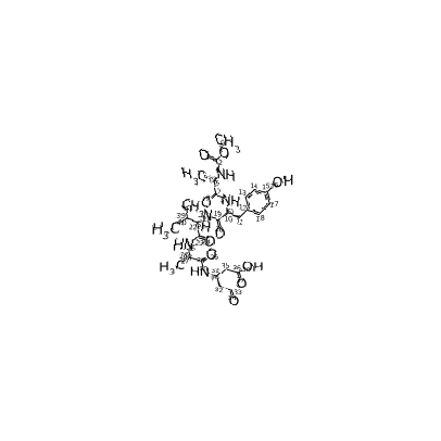 COC(=O)N[C@@H](C)C(=O)N[C@@H](Cc1ccc(O)cc1)C(=O)N[C@H](C(=O)N[C@@H](C)C(=O)N[C@H](CC=O)CC(=O)O)C(C)C